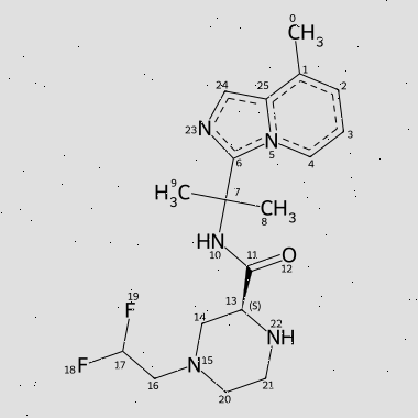 Cc1cccn2c(C(C)(C)NC(=O)[C@@H]3CN(CC(F)F)CCN3)ncc12